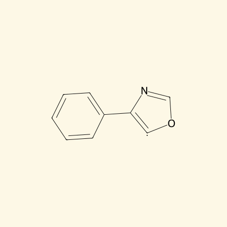 [c]1ocnc1-c1ccccc1